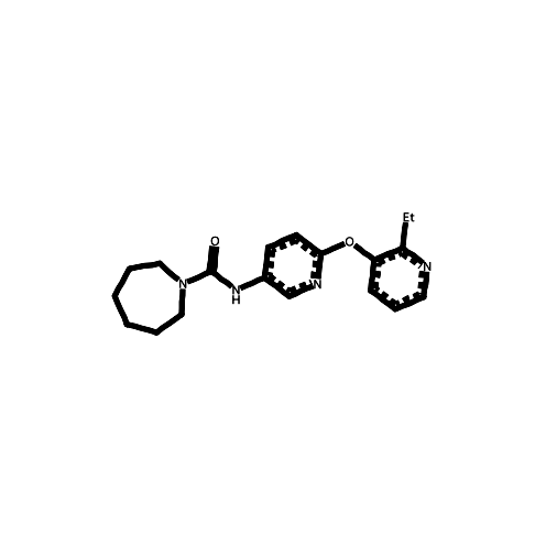 CCc1ncccc1Oc1ccc(NC(=O)N2CCCCCC2)cn1